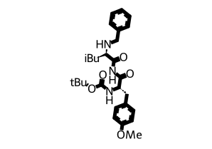 CC[C@H](C)[C@H](NCc1ccccc1)C(=O)NC(=O)[C@H](Cc1ccc(OC)cc1)NC(=O)OC(C)(C)C